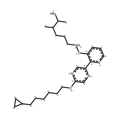 CCCCC(C)C(C)CCC[SiH2]Oc1cccnc1-c1cnc(OCCCCCCC2CC2)cn1